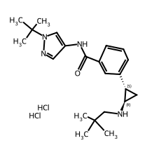 CC(C)(C)CN[C@@H]1C[C@H]1c1cccc(C(=O)Nc2cnn(C(C)(C)C)c2)c1.Cl.Cl